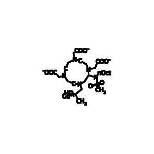 CCCCCCCCN(C1CN(CC(C)O)CCN(CC(=O)[O-])CCN(CC(=O)[O-])CCN1CC(=O)[O-])S(C)(=O)=O.[Gd+3]